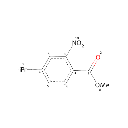 COC(=O)c1ccc([C](C)C)cc1[N+](=O)[O-]